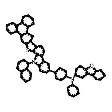 c1ccc(N(c2ccc(-c3ccc4c(c3)c3ccc5c6cc7c8ccccc8c8ccccc8c7cc6sc5c3n4-c3cccc4ccccc34)cc2)c2ccc3oc4ccccc4c3c2)cc1